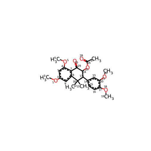 COc1cc(OC)c2c(c1)C(C)(C)C(c1ccc(OC)c(OC)c1)C(OC(C)=O)C2=O